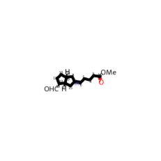 COC(=O)CCC/C=C1\C[C@H]2CC[C@H](C=O)[C@H]2C1